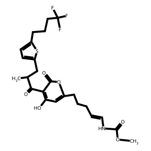 COC(=O)N/C=C/CCCc1cc(O)c(C(=O)C(C)Cc2ccc(CCCC(F)(F)F)s2)c(=O)o1